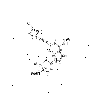 CCCNc1nc(C#Cc2ccc(Cl)s2)nc2c1ncn2C(C)CC(CC)C(=O)NC